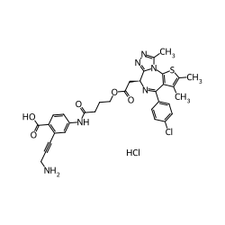 Cc1sc2c(c1C)C(c1ccc(Cl)cc1)=N[C@@H](CC(=O)OCCCC(=O)Nc1ccc(C(=O)O)c(C#CCN)c1)c1nnc(C)n1-2.Cl